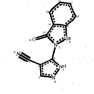 N#Cc1cn[nH]c1-n1[se]c2ccccc2c1=O